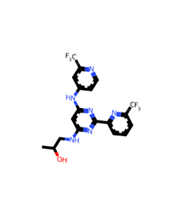 CC(O)CNc1cc(Nc2ccnc(C(F)(F)F)c2)nc(-c2cccc(C(F)(F)F)n2)n1